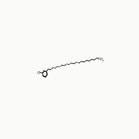 CCCCCCCCCCCCCCCCCCCCCCc1cccc(Cl)c1